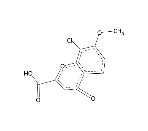 COc1ccc2c(=O)cc(C(=O)O)oc2c1Cl